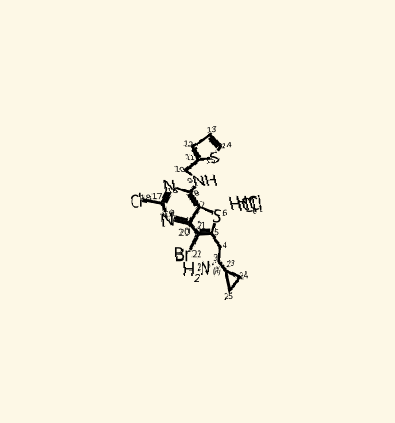 Cl.Cl.N[C@H](Cc1sc2c(NCc3cccs3)nc(Cl)nc2c1Br)C1CC1